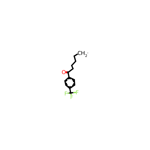 [CH2]CCCCC(=O)c1ccc(C(F)(F)F)cc1